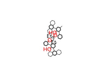 CCC(C[C@H](CC)Oc1ccccc1-c1cc(C)cc(-c2c3c(cc4c2CCCC4)CCCC3)c1O)Oc1ccccc1-c1cc(C)cc(-c2c3c(cc4c2CCCC4)CCCC3)c1O